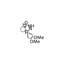 COc1ccc(C2=NNC(=O)[C@H]3CCCC[C@H]23)cc1OC